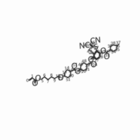 C=CC(=O)OCCCCCCOC1CCC(C(=O)OC2CCC(C(=O)Oc3ccc(OC(=O)C4CCC(C)CC4)c4c3SC(=C(C#N)C#N)S4)CC2)CC1